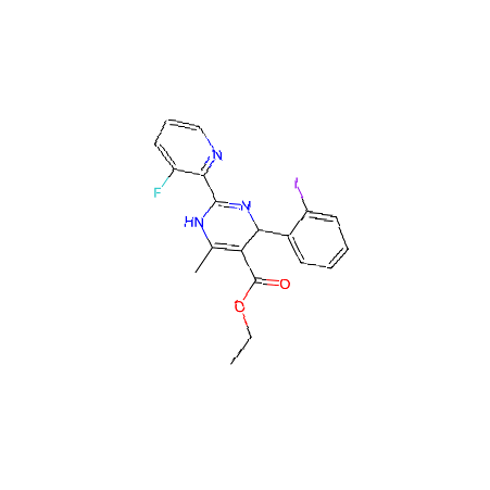 CCOC(=O)C1=C(C)NC(c2ncccc2F)=NC1c1ccccc1I